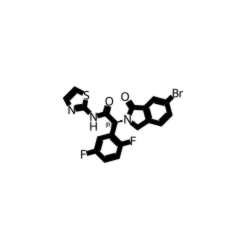 O=C(Nc1nccs1)[C@@H](c1cc(F)ccc1F)N1Cc2ccc(Br)cc2C1=O